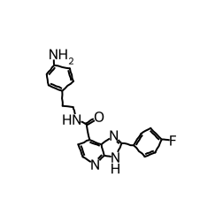 Nc1ccc(CCNC(=O)c2ccnc3[nH]c(-c4ccc(F)cc4)nc23)cc1